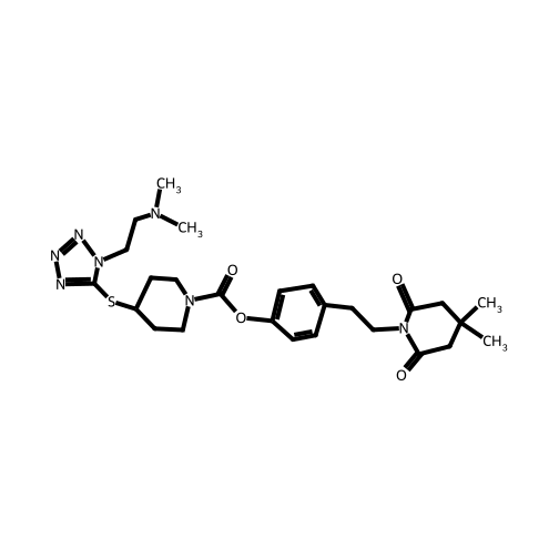 CN(C)CCn1nnnc1SC1CCN(C(=O)Oc2ccc(CCN3C(=O)CC(C)(C)CC3=O)cc2)CC1